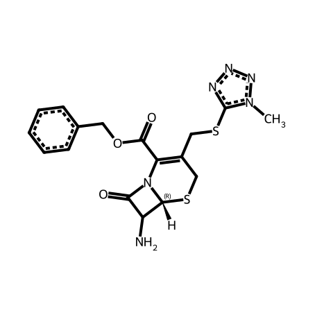 Cn1nnnc1SCC1=C(C(=O)OCc2ccccc2)N2C(=O)C(N)[C@H]2SC1